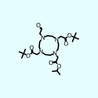 CC(C)OC(=O)CN1CCN(CC(=O)OC(C)(C)C)CCN(CC=O)CCN(CC(=O)OC(C)(C)C)CC1